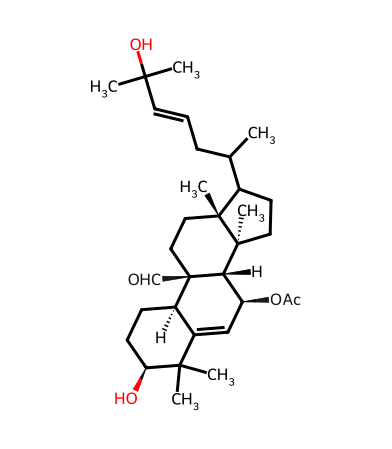 CC(=O)O[C@H]1C=C2[C@@H](CC[C@H](O)C2(C)C)[C@]2(C=O)CC[C@]3(C)C(C(C)C/C=C/C(C)(C)O)CC[C@@]3(C)[C@H]12